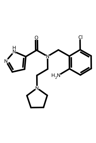 Nc1cccc(Cl)c1CN(CCN1CCCC1)C(=O)c1ccn[nH]1